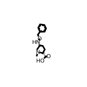 CN1C[C@H](NOCc2ccccc2)CC[C@@H]1C(=O)O